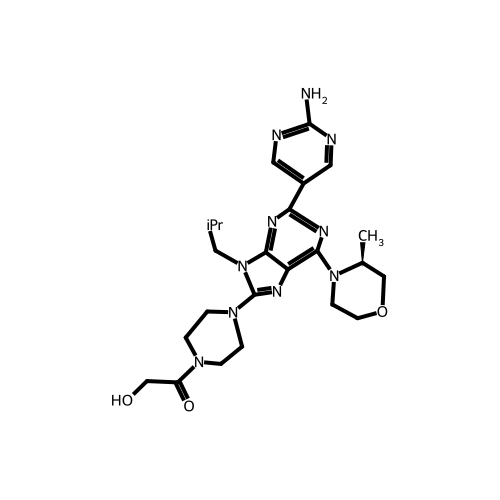 CC(C)Cn1c(N2CCN(C(=O)CO)CC2)nc2c(N3CCOC[C@@H]3C)nc(-c3cnc(N)nc3)nc21